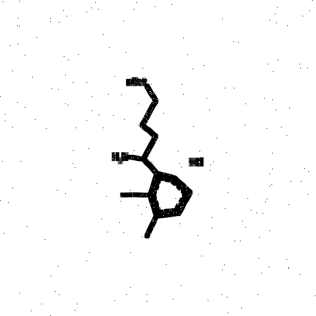 CCCCCCCCCCCC(N)c1cccc(C)c1C.Cl